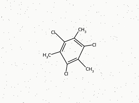 Cc1c(Cl)c(C)c(Cl)c(C)c1Cl